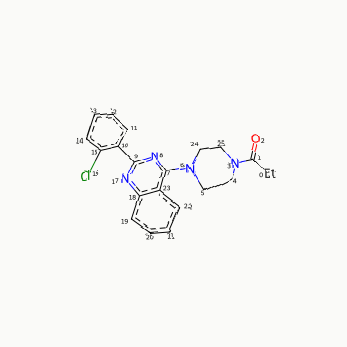 CCC(=O)N1CCN(c2nc(-c3ccccc3Cl)nc3ccccc23)CC1